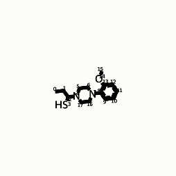 CCC(S)N1CCN(c2ccccc2OC)CC1